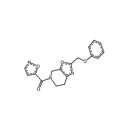 O=C(c1ccno1)N1CCc2nc(COc3ccccc3)oc2C1